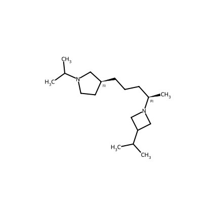 CC(C)C1CN([C@H](C)CCC[C@H]2CCN(C(C)C)C2)C1